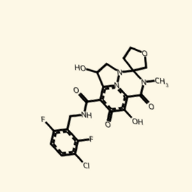 CN1C(=O)c2c(O)c(=O)c(C(=O)NCc3c(F)ccc(Cl)c3F)c3n2N(CC3O)C12CCOC2